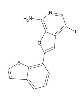 Nc1ncc(I)c2cc(-c3cccc4ccsc34)oc12